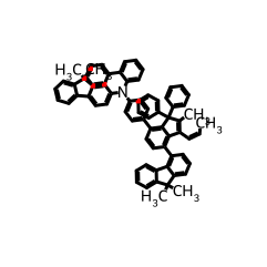 C/C=C\C1=C(C)C(c2ccccc2)(c2ccccc2)c2c(-c3ccc(N(c4ccc5c(c4)C(C)(C)c4ccccc4-5)c4ccccc4-c4ccccc4)cc3)ccc(-c3cccc4c3-c3ccccc3C4(C)C)c21